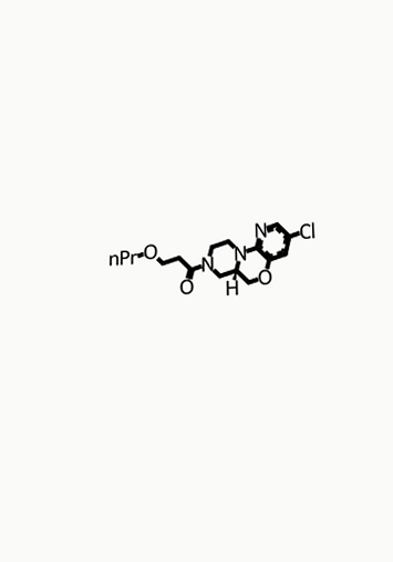 CCCOCCC(=O)N1CCN2c3ncc(Cl)cc3OC[C@@H]2C1